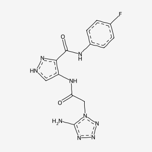 Nc1nnnn1CC(=O)Nc1c[nH]nc1C(=O)Nc1ccc(F)cc1